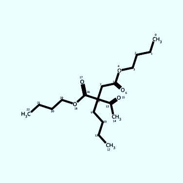 CCCCOC(=O)CC(CCCC)(C(C)=O)C(=O)OCCCC